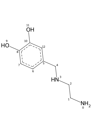 NCCNCc1ccc(O)c(O)c1